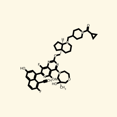 C#Cc1c(F)ccc2cc(O)cc(-c3nc(OC)c4c(N5CCOC[C@@](C)(O)C5)nc(OC[C@]56CCC[C@H]5N(CC5CCN(C(=O)C7CC7)CC5)CCC6)nc4c3F)c12